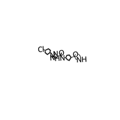 O=C(Nc1ccc(C2CNCCO2)cc1)c1cnn(-c2ccc(Cl)cc2)n1